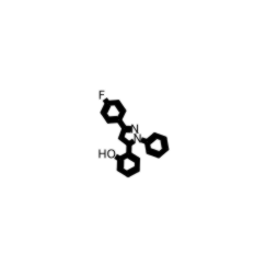 Oc1ccccc1C1CC(c2ccc(F)cc2)=NN1c1ccccc1